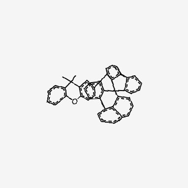 CC1(C)c2ccccc2Oc2ccc(-c3cccc4c3C3(c5ccccc5-4)c4ccccc4-c4cccc5cccc3c45)cc21